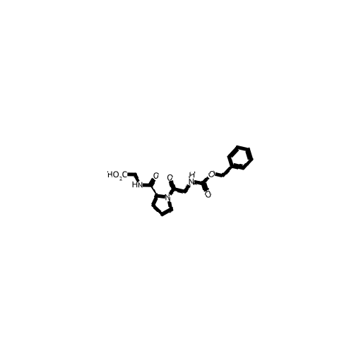 O=C(O)CNC(=O)[C@@H]1CCCN1C(=O)CNC(=O)OCc1ccccc1